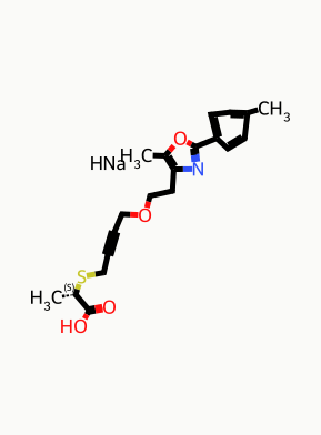 Cc1ccc(-c2nc(CCOCC#CCS[C@@H](C)C(=O)O)c(C)o2)cc1.[NaH]